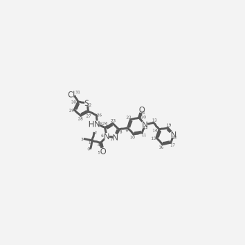 CC(C)(C)C(=O)n1nc(-c2ccn(Cc3cccnc3)c(=O)c2)cc1NCc1ccc(Cl)s1